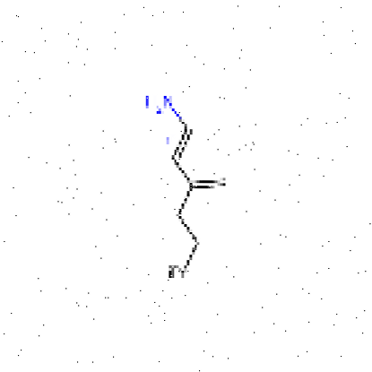 C=C(/C=C/N)CCC(C)C